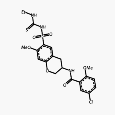 CCNC(=S)NS(=O)(=O)c1cc2c(cc1OC)OCC(NC(=O)c1cc(Cl)ccc1OC)C2